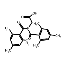 Cc1cc(C)c(C(=O)P(CC(=O)O)C(=O)c2c(C)cc(C)cc2C)c(C)c1